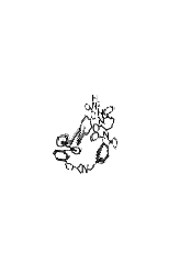 NC(=O)OC1CCN(S(=O)(=O)c2cccc(OC3CN(Cc4ccc5c(c4)C(=O)N(C4CCC(=O)NC4=O)C5=O)C3)c2)CC1